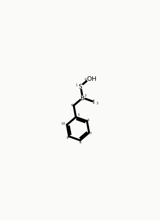 OSB(I)Cc1ccccc1